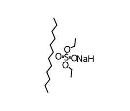 CCCCCCCCCCCC.CCOS(=O)(=O)OCC.[NaH]